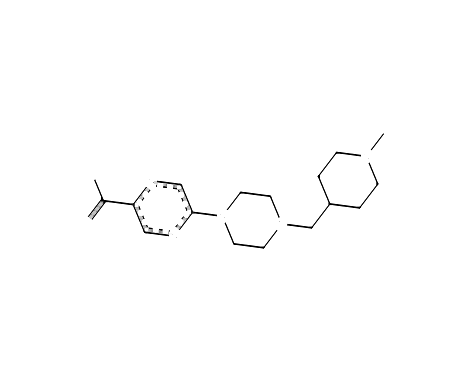 CN1CCC(CN2CCN(c3cnc(C(=O)O)cn3)CC2)CC1